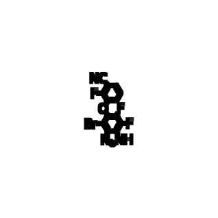 N#Cc1cccc(Oc2c(F)c(F)c3[nH]cnc3c2Br)c1F